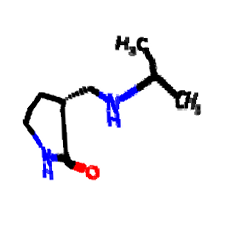 CC(C)NC[C@H]1CCNC1=O